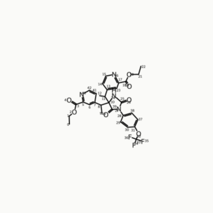 CCOC(=O)c1cc(C(C)C2(C(C)c3ccnc(C(=O)OCC)c3)NC(=O)N(c3ccc(OC(F)(F)F)cc3)C2=O)ccn1